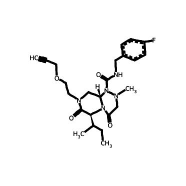 C#CCOCCN1C[C@H]2N(C(=O)CN(C)N2C(=O)NCc2ccc(F)cc2)[C@@H](C(C)CC)C1=O